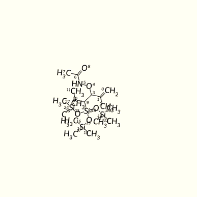 C=C(C)C(ONC(C)=O)C(CC)[Si](O[Si](C)(C)C)(O[Si](C)(C)C)O[Si](C)(C)C